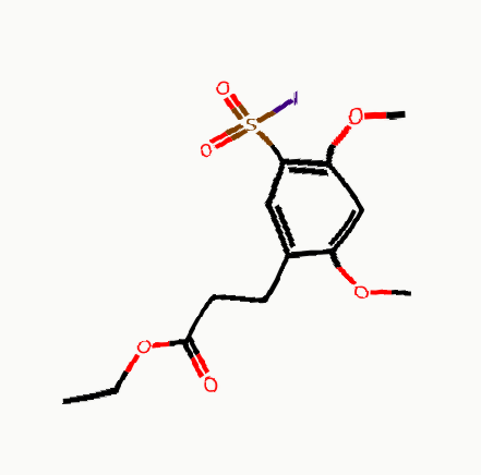 CCOC(=O)CCc1cc(S(=O)(=O)I)c(OC)cc1OC